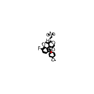 COc1ccc(S(=O)(=O)[C@@]23CCO[C@@H](CCS(C)(=O)=O)[C@@H]2COc2c(F)ccc(F)c23)cc1